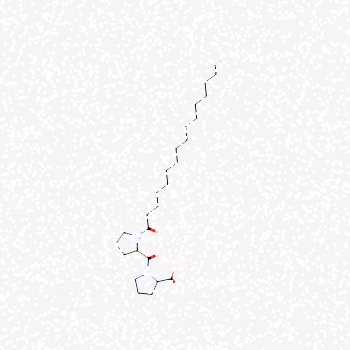 CCCCCCCCCCCCCCCC(=O)N1CCCC1C(=O)N1CCCC1C(=O)O